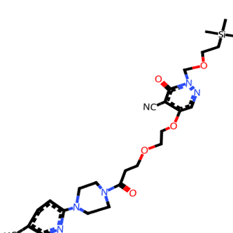 C[Si](C)(C)CCOCn1ncc(OCCOCCC(=O)N2CCN(c3ccc(C#N)cn3)CC2)c(C#N)c1=O